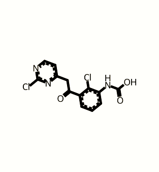 O=C(O)Nc1cccc(C(=O)Cc2ccnc(Cl)n2)c1Cl